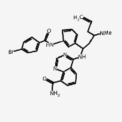 C=CCC(CC(Nc1ncnc2c(C(N)=O)cccc12)c1cccc(NC(=O)c2ccc(Br)cc2)c1)NC